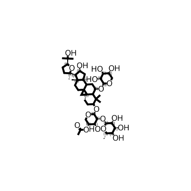 CC(=O)O[C@@H]1CO[C@@H](OC2CC[C@]34CC35CC[C@]3(C)[C@@H]([C@@]6(C)CC[C@@H](C(C)(C)O)O6)[C@H](O)C[C@@]3(C)C5C[C@@H](O[C@@H]3OC[C@@H](O)[C@H](O)[C@H]3O)C4C2(C)C)[C@H](O[C@@H]2O[C@@H](C)[C@H](O)[C@@H](O)[C@H]2O)[C@H]1O